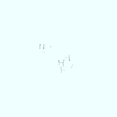 C/C(=C\CC[C@@H](C)[C@H]1CC[C@H]2[C@@H]3CC=C4CCCC[C@]4(C)[C@H]3CC[C@]12C)[N+](=O)[O-]